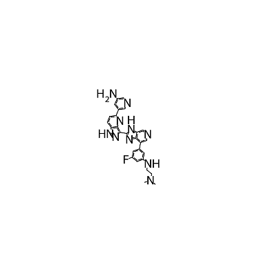 CN(C)CCNc1cc(F)cc(-c2cncc3[nH]c(-c4n[nH]c5ccc(-c6cncc(N)c6)nc45)nc23)c1